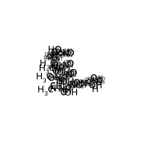 CN(C)CCCNC(=O)c1ccc(N2CCOCC2)cc1O.COCCNC(=O)c1ccc(N2CCOCC2)cc1O.CON(C)C(=O)c1ccc(N2CCOCC2)cc1O.O=C(Nc1ccccc1)c1ccc(N2CCOCC2)cc1O.O=C(c1ccc(N2CCOCC2)cc1O)N(c1ccccc1)C1CC1